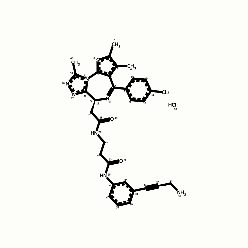 Cc1sc2c(c1C)C(c1ccc(Cl)cc1)=N[C@@H](CC(=O)NCCC(=O)Nc1cccc(C#CCN)c1)c1nnc(C)n1-2.Cl